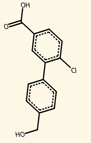 O=C(O)c1ccc(Cl)c(-c2ccc(CO)cc2)c1